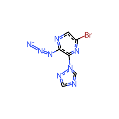 [N-]=[N+]=Nc1ncc(Br)nc1-n1cncn1